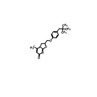 Cc1cc(=O)nc2n1CC(COc1ccc(CC(C)(C)C)cc1)O2